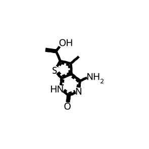 C=C(O)c1sc2[nH]c(=O)nc(N)c2c1C